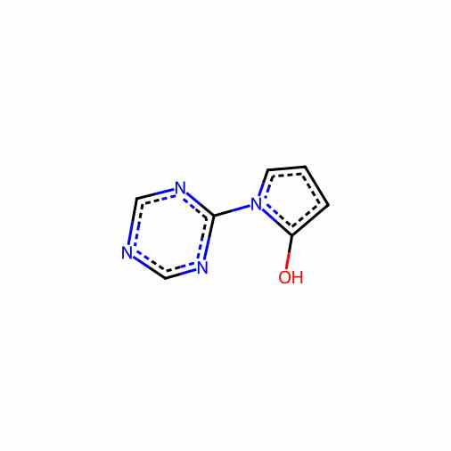 Oc1cccn1-c1ncncn1